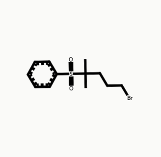 CC(C)(CCCBr)S(=O)(=O)c1ccccc1